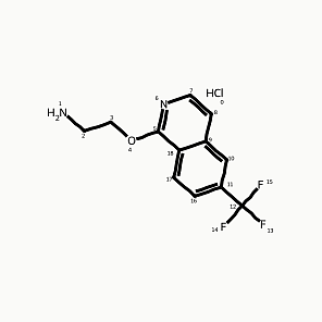 Cl.NCCOc1nccc2cc(C(F)(F)F)ccc12